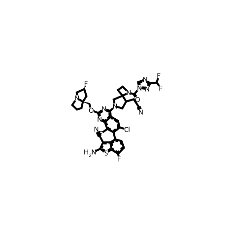 N#CCC1CN(c2nc(OC[C@@]34CCCN3C[C@H](F)C4)nc3c(F)c(-c4ccc(F)c5sc(N)c(C#N)c45)c(Cl)cc23)CC12CCN2C(=O)n1cnc(C(F)F)n1